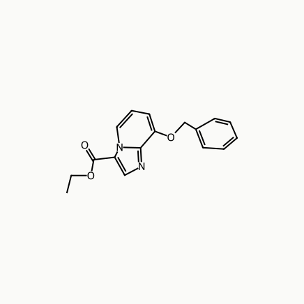 CCOC(=O)c1cnc2c(OCc3ccccc3)cccn12